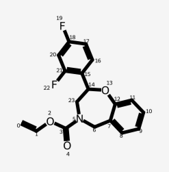 C=COC(=O)N1Cc2ccccc2OC(c2ccc(F)cc2F)C1